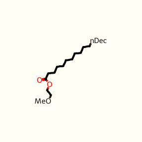 CCCCCCCCCCCCCCCCCCCCC(=O)OCCOC